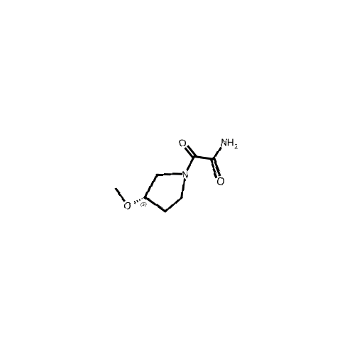 CO[C@H]1CCN(C(=O)C(N)=O)C1